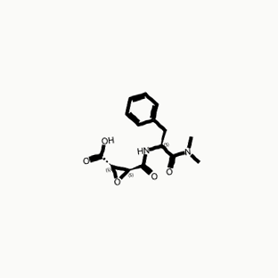 CN(C)C(=O)[C@H](Cc1ccccc1)NC(=O)[C@H]1O[C@@H]1C(=O)O